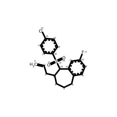 C=CCC1CCCc2ccc(F)cc2C1S(=O)(=O)c1ccc(Cl)cc1